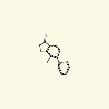 Cc1c(-c2ccccc2)ccc2c1CCC2=O